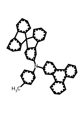 Cc1ccc(N(c2ccc3c(c2)-c2ccccc2C32c3ccccc3-c3ccccc32)c2ccc3c4ccccc4c4ccccc4c3c2)cc1